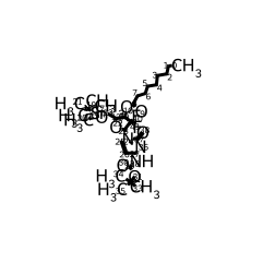 CCCCCCCCC(=O)O[C@@H]1C(CO[Si](C)(C)C(C)(C)C)OC(n2ccc(NC(=O)OC(C)(C)C)nc2=O)C1(F)F